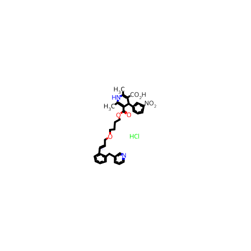 CC1=C(C(=O)O)C(c2cccc([N+](=O)[O-])c2)C(C(=O)OCCCCOC/C=C/c2ccccc2Cc2cccnc2)=C(C)N1.Cl